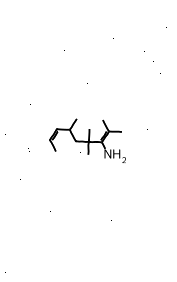 C/C=C\C(C)CC(C)(C)C(N)=C(C)C